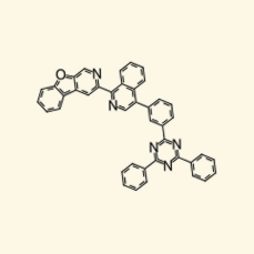 c1ccc(-c2nc(-c3ccccc3)nc(-c3cccc(-c4cnc(-c5cc6c(cn5)oc5ccccc56)c5ccccc45)c3)n2)cc1